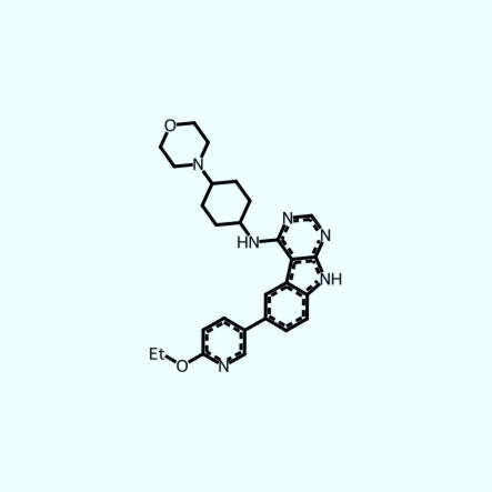 CCOc1ccc(-c2ccc3[nH]c4ncnc(NC5CCC(N6CCOCC6)CC5)c4c3c2)cn1